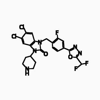 O=c1n(Cc2ccc(-c3nnc(C(F)F)o3)cc2F)c2cc(Cl)c(Cl)cc2n1C1CCNCC1